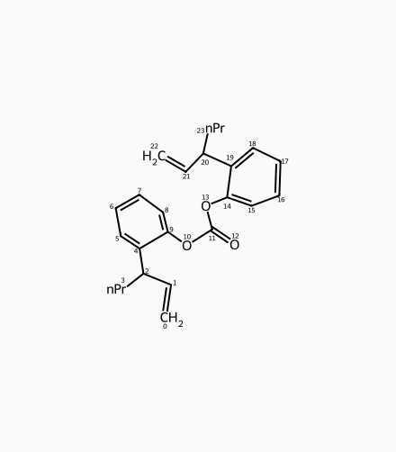 C=CC(CCC)c1ccccc1OC(=O)Oc1ccccc1C(C=C)CCC